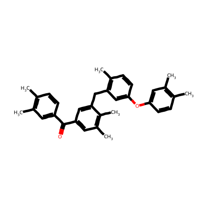 Cc1ccc(Oc2ccc(C)c(Cc3cc(C(=O)c4ccc(C)c(C)c4)cc(C)c3C)c2)cc1C